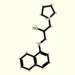 OC(COc1cccc2c1CC=CC2)CN1CCCC1